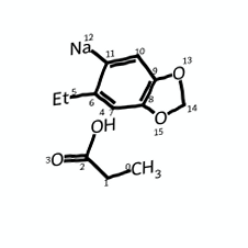 CCC(=O)O.CCc1cc2c(c[c]1[Na])OCO2